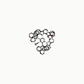 N#Cc1c(-n2c3ccccc3c3ccccc32)c(-n2c3c(ccc4c5ccccc5sc43)c3ccc4c5ccccc5sc4c32)cc(-n2c3c(ccc4c5ccccc5sc43)c3ccc4c5ccccc5sc4c32)c1-n1c2ccccc2c2ccccc21